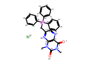 Cn1c(=O)c2ncc(C[P+](c3ccccc3)(c3ccccc3)c3ccccc3)nc2n(C)c1=O.[Br-]